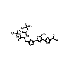 Cc1oc(-c2csc(CC(NC(=O)OC(C)(C)C)C(=O)OC(C)(C)C)n2)nc1-c1nc(C(=O)O)cs1